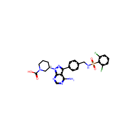 Nc1ncnc2c1c(-c1ccc(CNS(=O)(=O)c3c(F)cccc3F)cc1)nn2[C@@H]1CCCN(C(=O)O)C1